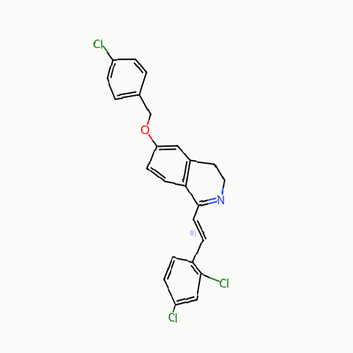 Clc1ccc(COc2ccc3c(c2)CCN=C3/C=C/c2ccc(Cl)cc2Cl)cc1